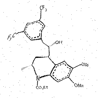 CCOC(=O)N1c2cc(OC)c(OC)cc2[C@H]([C@@H](O)c2cc(C(F)(F)F)cc(C(F)(F)F)c2)C[C@H]1C